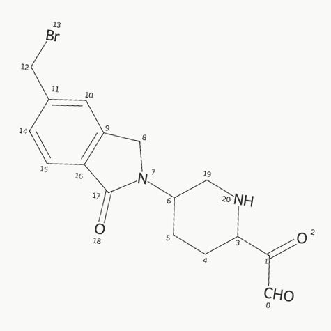 O=CC(=O)C1CCC(N2Cc3cc(CBr)ccc3C2=O)CN1